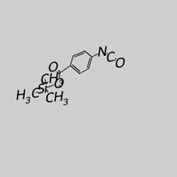 C[Si](C)(C)OC(=O)c1ccc(N=C=O)cc1